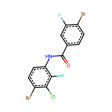 O=C(Nc1ccc(Br)c(Cl)c1F)c1ccc(Br)c(F)c1